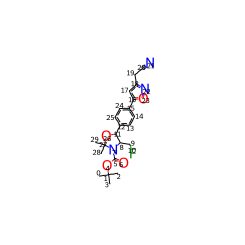 CC(C)(C)OC(=O)N1C(CF)C(c2ccc(-c3cc(CC#N)no3)cc2)OC1(C)C